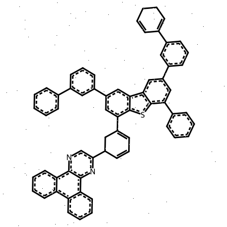 C1=CC(c2cnc3c4ccccc4c4ccccc4c3n2)CC(c2cc(-c3cccc(-c4ccccc4)c3)cc3c2sc2c(-c4ccccc4)cc(-c4cccc(C5=CCCC=C5)c4)cc23)=C1